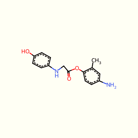 Cc1cc(N)ccc1OC(=O)CNc1ccc(O)cc1